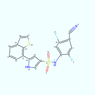 N#Cc1cc(F)c(NS(=O)(=O)c2c[nH]c(-c3cccc4ccsc34)c2)cc1F